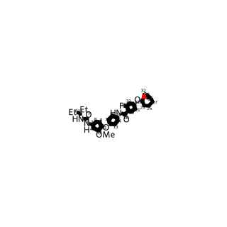 CCC(CC)NC(=O)Nc1ccc(Oc2ccc(NC(=O)c3ccc(OC45CCCC(CC4)N5C)cc3F)cc2)c(OC)c1